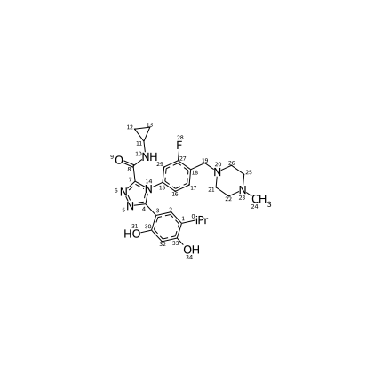 CC(C)c1cc(-c2nnc(C(=O)NC3CC3)n2-c2ccc(CN3CCN(C)CC3)c(F)c2)c(O)cc1O